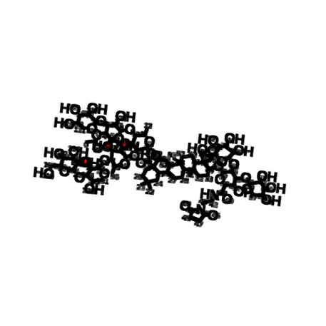 CC(=O)OC1C(C)OC(OC2C(C)OC(OC(=O)[C@]34CCC(C)(C)CC3C3=CCC5[C@@]6(C)CC[C@H](OC7OC(C(=O)NCCN8C(=O)C=CC8=O)C(O)C(OC8OCC(O)C(O)C8O)C7OC7OC(CO)C(O)C(O)C7O)[C@@](C)(C=O)C6CC[C@@]5(C)[C@]3(C)C[C@H]4O)C(OC3OC(C)C(OC4OCC(O)C(OC5OC(CO)C(O)C(O)C5O)C4O)C(O)C3O)C2O)C(O)C1OC1OCC(O)C(O)C1O